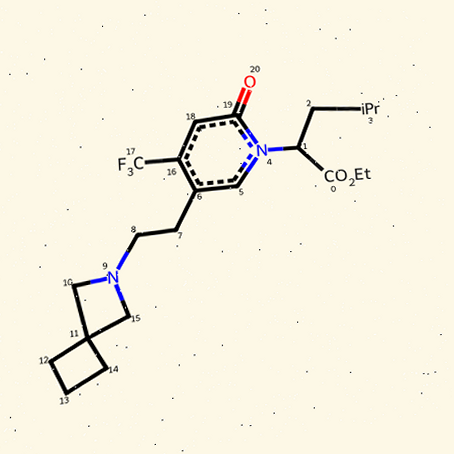 CCOC(=O)C(CC(C)C)n1cc(CCN2CC3(CCC3)C2)c(C(F)(F)F)cc1=O